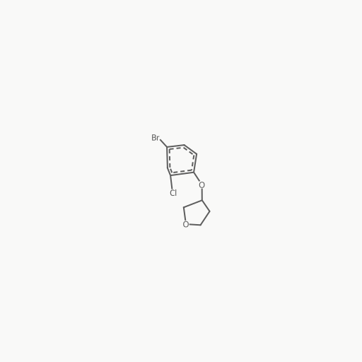 Clc1cc(Br)ccc1OC1CCOC1